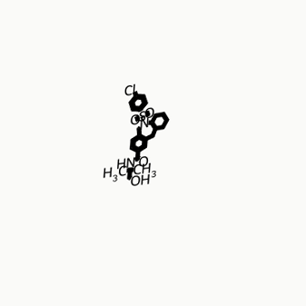 CC(C)(CO)NC(=O)c1ccc2c(c1)CC1CCCCC1N(S(=O)(=O)c1ccc(Cl)cc1)C2